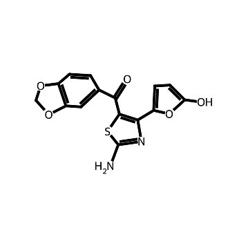 Nc1nc(-c2ccc(O)o2)c(C(=O)c2ccc3c(c2)OCO3)s1